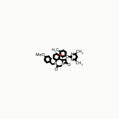 COc1ccc(CN2C(=O)CN3C(=O)[C@@H](Oc4nc(C)cc(C)n4)[C@]3(c3cccc(C)c3)c3ccccc32)cc1